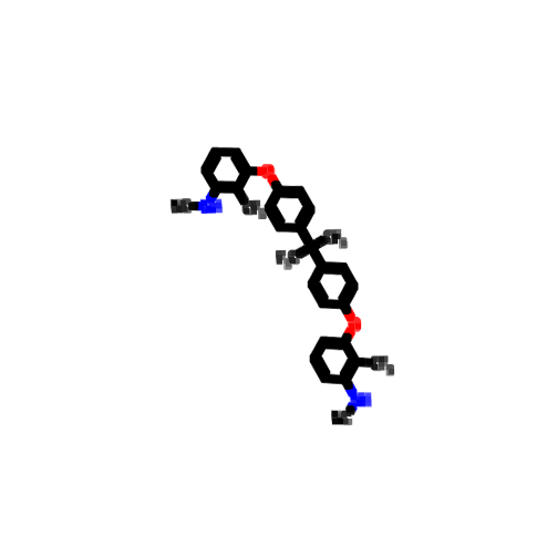 N#CNc1cccc(Oc2ccc(C(c3ccc(Oc4cccc(NC#N)c4C(F)(F)F)cc3)(C(F)(F)F)C(F)(F)F)cc2)c1C(F)(F)F